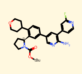 CC(C)(C)OC(=O)N1CCC[C@H]1c1cc(-c2cnc(N)c(-c3ccnc(F)c3)c2)ccc1C1CCOCC1